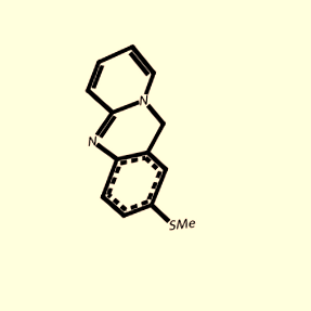 CSc1ccc2c(c1)CN1C=CC=CC1=N2